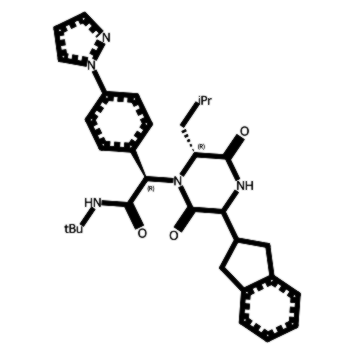 CC(C)C[C@@H]1C(=O)NC(C2Cc3ccccc3C2)C(=O)N1[C@@H](C(=O)NC(C)(C)C)c1ccc(-n2cccn2)cc1